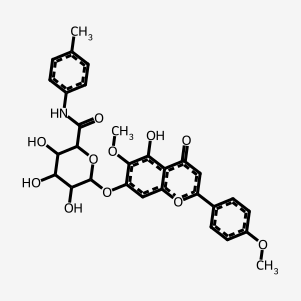 COc1ccc(-c2cc(=O)c3c(O)c(OC)c(OC4OC(C(=O)Nc5ccc(C)cc5)C(O)C(O)C4O)cc3o2)cc1